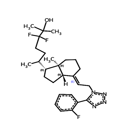 CC(CCC(F)(F)C(C)(C)O)[C@H]1CC[C@H]2/C(=C/Cn3nnnc3-c3ccccc3F)CCC[C@]12C